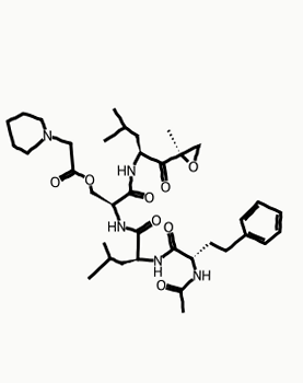 CC(=O)N[C@@H](CCc1ccccc1)C(=O)N[C@@H](CC(C)C)C(=O)N[C@@H](COC(=O)CN1CCCCC1)C(=O)N[C@@H](CC(C)C)C(=O)[C@@]1(C)CO1